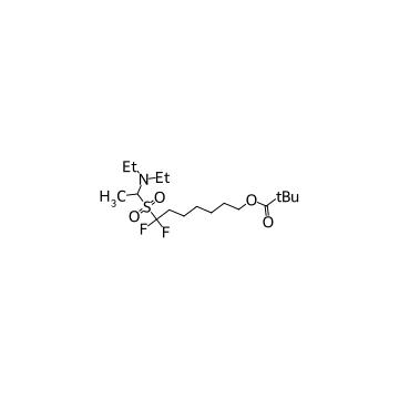 CCN(CC)C(C)S(=O)(=O)C(F)(F)CCCCCCOC(=O)C(C)(C)C